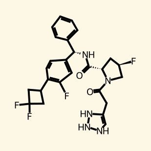 O=C(N[C@@H](c1ccccc1)c1ccc(C2CC(F)(F)C2)c(F)c1)[C@@H]1C[C@@H](F)CN1C(=O)CC1=CNNN1